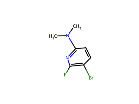 CN(C)c1ccc(Br)c(F)n1